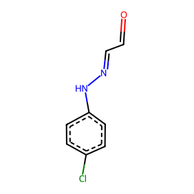 O=CC=NNc1ccc(Cl)cc1